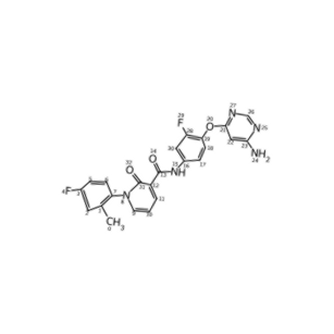 Cc1cc(F)ccc1-n1cccc(C(=O)Nc2ccc(Oc3cc(N)ncn3)c(F)c2)c1=O